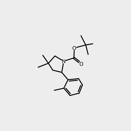 Cc1ccccc1C1CC(C)(C)CN1C(=O)OC(C)(C)C